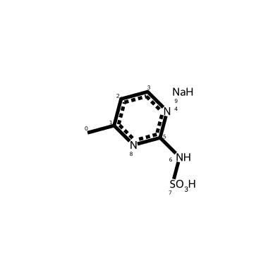 Cc1ccnc(NS(=O)(=O)O)n1.[NaH]